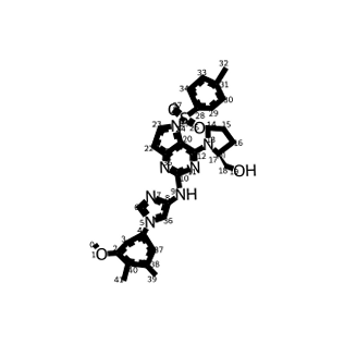 COc1cc(-n2cnc(Nc3nc(N4CCC[C@H]4CO)c4c(ccn4S(=O)(=O)c4ccc(C)cc4)n3)c2)cc(C)c1C